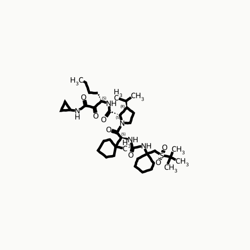 CCCC[C@H](NC(=O)[C@@H]1[C@@H](C(C)C)CCN1C(=O)[C@@H](NC(=O)NC1(CS(=O)(=O)C(C)(C)C)CCCCC1)C1(C)CCCCC1)C(=O)C(=O)NC1CC1